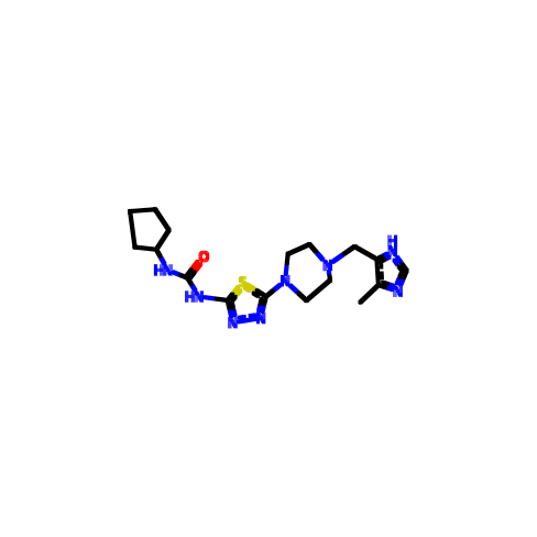 Cc1nc[nH]c1CN1CCN(c2nnc(NC(=O)NC3CCCC3)s2)CC1